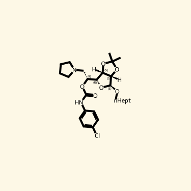 CCCCCCCO[C@H]1O[C@H]([C@@H](CN2CCCC2)OC(=O)Nc2ccc(Cl)cc2)[C@@H]2OC(C)(C)O[C@H]12